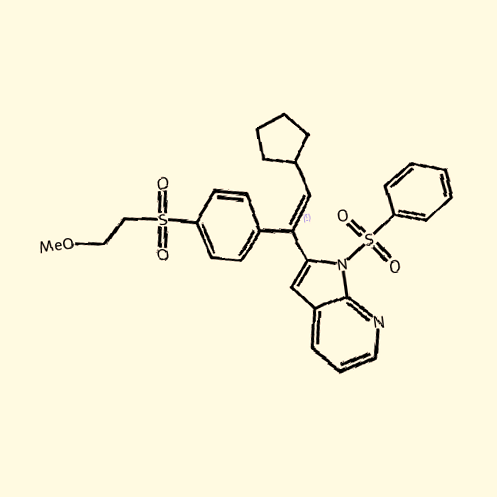 COCCS(=O)(=O)c1ccc(/C(=C\C2CCCC2)c2cc3cccnc3n2S(=O)(=O)c2ccccc2)cc1